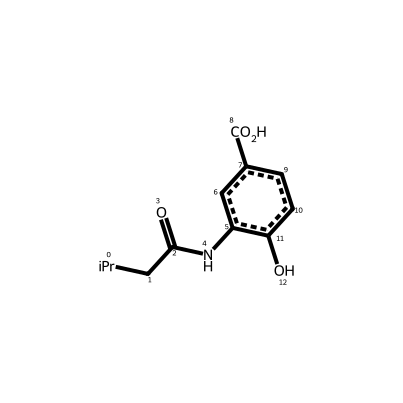 CC(C)CC(=O)Nc1cc(C(=O)O)ccc1O